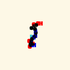 O=C1CCC(N2Cc3cc(N4CCN(CC5CCN(c6ccc([C@@H]7C8CC=C(O)C=C8OC[C@@H]7c7ccccc7)cc6)CC5)CC4)c(F)cc3C2=O)C(=O)N1